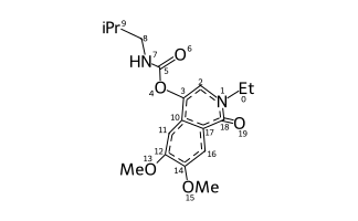 CCn1cc(OC(=O)NCC(C)C)c2cc(OC)c(OC)cc2c1=O